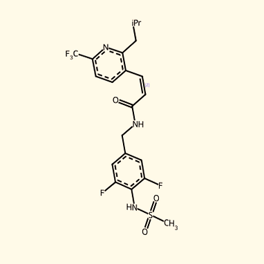 CC(C)Cc1nc(C(F)(F)F)ccc1/C=C\C(=O)NCc1cc(F)c(NS(C)(=O)=O)c(F)c1